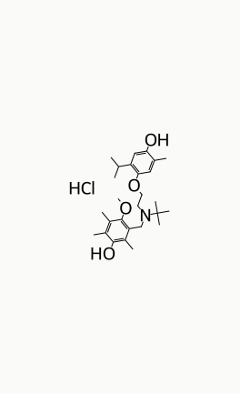 COc1c(C)c(C)c(O)c(C)c1CN(CCOc1cc(C)c(O)cc1C(C)C)C(C)(C)C.Cl